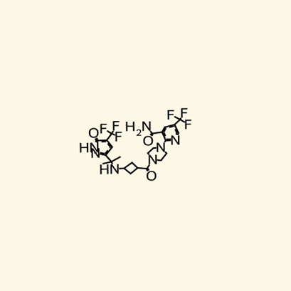 CC(C)(NC1CC(C(=O)N2CCN(c3ncc(C(F)(F)F)cc3C(N)=O)CC2)C1)c1cc(C(F)(F)F)c(=O)[nH]n1